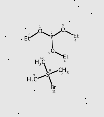 CCOP(OCC)OCC.C[Si](C)(C)Br